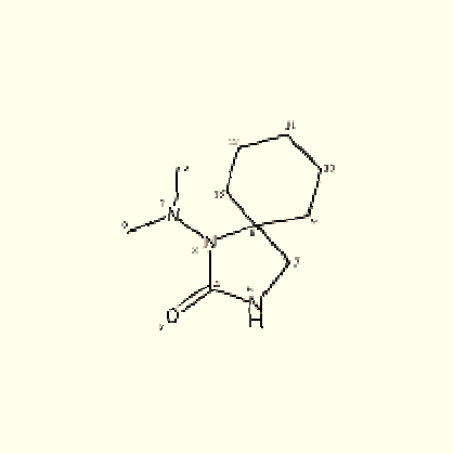 CN(C)N1C(=O)NCC12CCCCC2